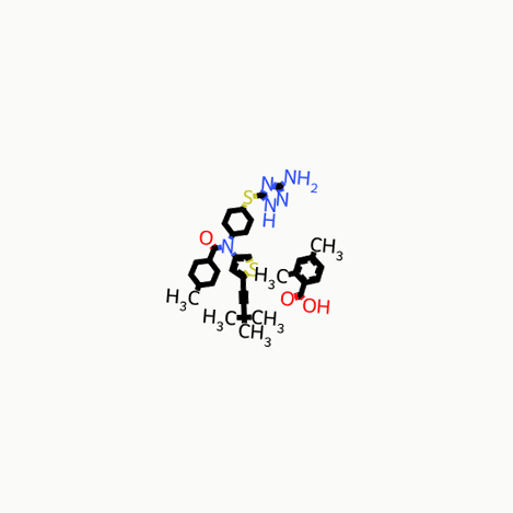 CC1CCC(C(=O)N(c2csc(C#CC(C)(C)C)c2)C2CCC(Sc3nc(N)n[nH]3)CC2)CC1.Cc1ccc(C(=O)O)c(C)c1